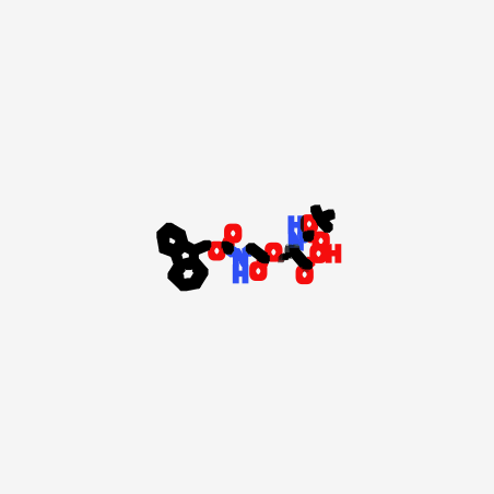 CC(C)(C)OC(=O)N[C@@H](COC(=O)CNC(=O)OCC1c2ccccc2-c2ccccc21)C(=O)O